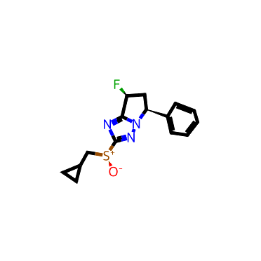 [O-][S@@+](CC1CC1)c1nc2n(n1)[C@H](c1ccccc1)C[C@@H]2F